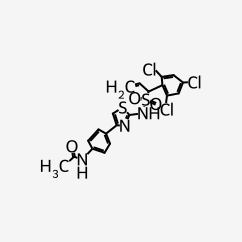 C=CC(c1c(Cl)cc(Cl)cc1Cl)S(=O)(=O)Nc1nc(-c2ccc(NC(C)=O)cc2)cs1